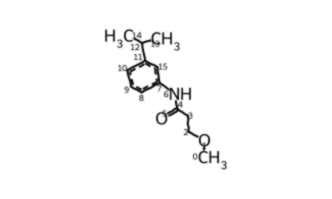 COCCC(=O)Nc1cccc(C(C)C)c1